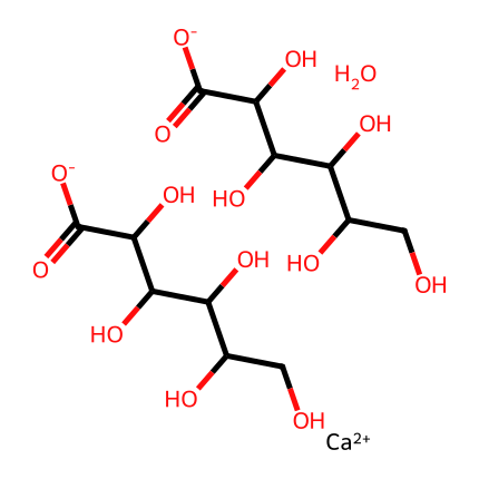 O.O=C([O-])C(O)C(O)C(O)C(O)CO.O=C([O-])C(O)C(O)C(O)C(O)CO.[Ca+2]